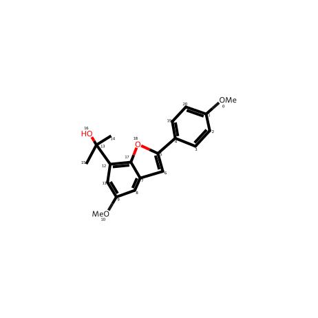 COc1ccc(-c2cc3cc(OC)cc(C(C)(C)O)c3o2)cc1